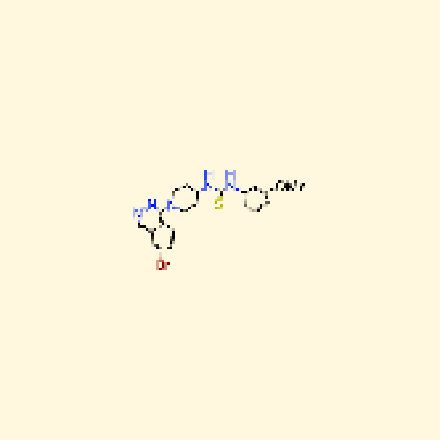 COc1cccc(NC(=S)NC2CCN(c3nncc4cc(Br)ccc34)CC2)c1